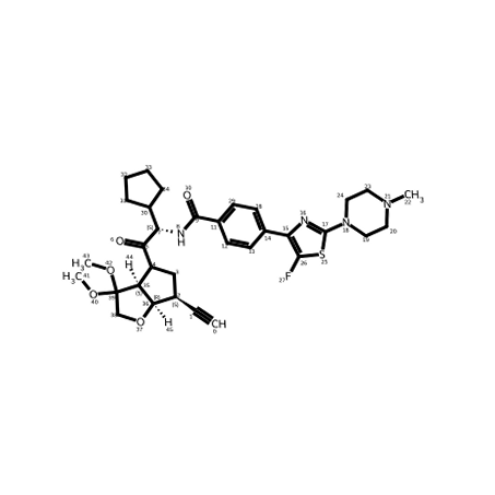 C#C[C@@H]1CC(C(=O)[C@@H](NC(=O)c2ccc(-c3nc(N4CCN(C)CC4)sc3F)cc2)C2CCCC2)[C@H]2[C@@H]1OCC2(OC)OC